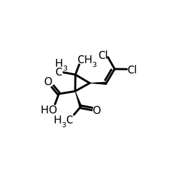 CC(=O)[C@]1(C(=O)O)[C@H](C=C(Cl)Cl)C1(C)C